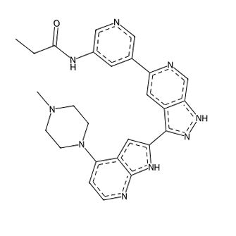 CCC(=O)Nc1cncc(-c2cc3c(-c4cc5c(N6CCN(C)CC6)ccnc5[nH]4)n[nH]c3cn2)c1